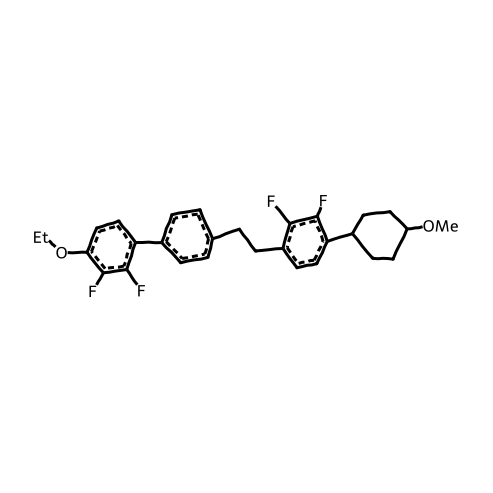 CCOc1ccc(-c2ccc(CCc3ccc(C4CCC(OC)CC4)c(F)c3F)cc2)c(F)c1F